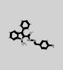 Cn1c(C(=O)NN=Cc2ccc(Br)cc2)c(-c2ccccc2)c2ccccc21